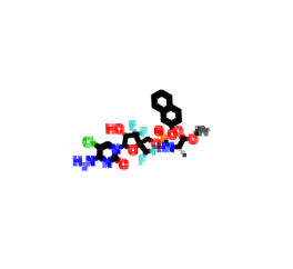 CC(C)OC(=O)[C@H](C)NP(=O)(OC[C@@]1(C(F)F)O[C@@H](n2cc(Cl)c(N)nc2=O)[C@H](O)C1(F)F)Oc1ccc2ccccc2c1